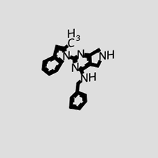 Cc1cc2ccccc2n1-c1nc2c(c(NCc3ccccc3)n1)CNC2